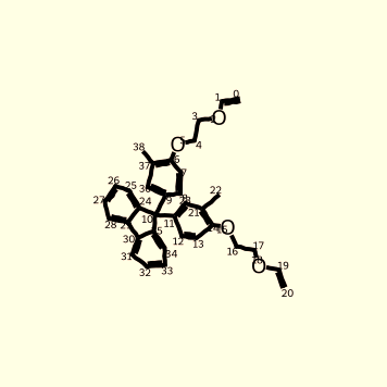 C=COCCOc1ccc(C2(c3ccc(OCCOC=C)c(C)c3)c3ccccc3-c3ccccc32)cc1C